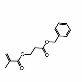 C=C(C)C(=O)OCCC(=O)OCc1ccccc1